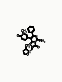 Cn1cc(-c2c(-c3ccccc3)nc(N)n3c(=O)n(C[C@@H]4OCCC4C(F)(F)F)nc23)ccc1=O